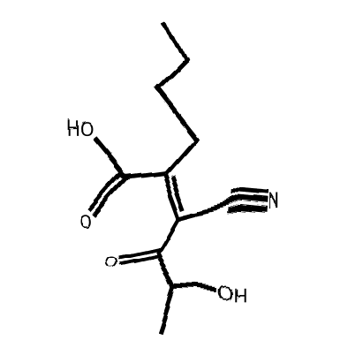 CCCC/C(C(=O)O)=C(\C#N)C(=O)C(C)O